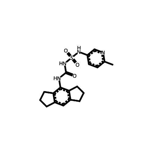 Cc1ccc(NS(=O)(=O)NC(=O)Nc2c3c(cc4c2CCC4)CCC3)cn1